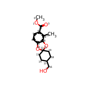 COC(=O)c1ccc2c(c1C)OC1(CCC(CO)CC1)O2